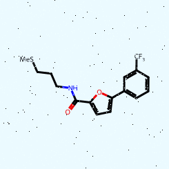 CSCCCNC(=O)c1ccc(-c2cccc(C(F)(F)F)c2)o1